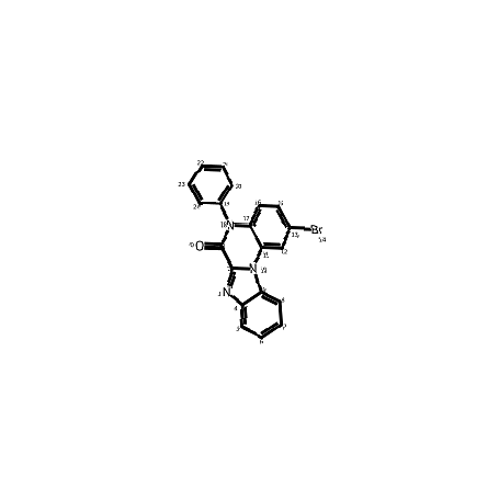 O=c1c2nc3ccccc3n2c2cc(Br)ccc2n1-c1ccccc1